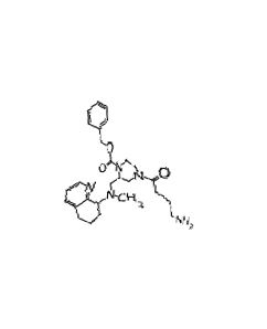 CN(CC1CN(C(=O)CCCN)CCN1C(=O)OCc1ccccc1)C1CCCc2cccnc21